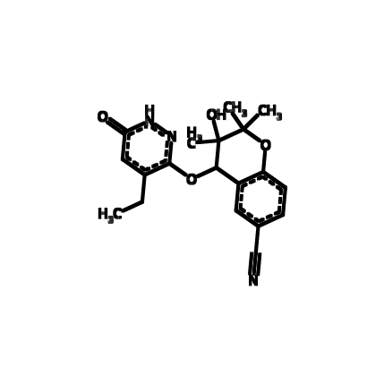 CCc1cc(=O)[nH]nc1OC1c2cc(C#N)ccc2OC(C)(C)C1(C)O